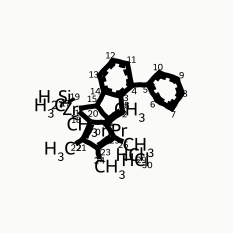 CCCC1=Cc2c(-c3ccccc3)cccc2[CH]1[Zr]([CH3])([CH3])(=[SiH2])[C]1=C(C)C(C)=C(C)C1C.Cl.Cl